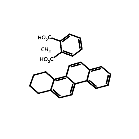 C.O=C(O)c1ccccc1C(=O)O.c1ccc2c(c1)ccc1c3c(ccc12)CCCC3